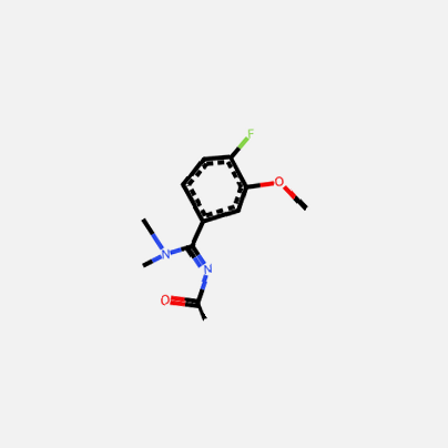 COc1cc(C(=NC(C)=O)N(C)C)ccc1F